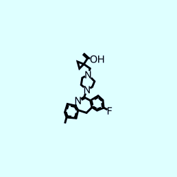 C=C(O)C1(CN2CCN(C3=Nc4ccc(C)cc4Cc4cc(F)ccc43)CC2)CC1